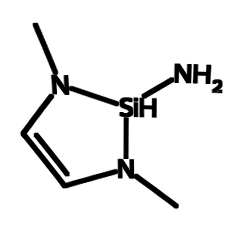 CN1C=CN(C)[SiH]1N